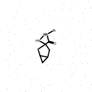 CCNC1(C(=O)NBr)CC2CC2C1